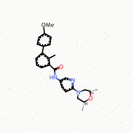 COc1ccc(-c2cccc(C(=O)Nc3ccc(N4C[C@@H](C)O[C@@H](C)C4)nc3)c2C)cc1